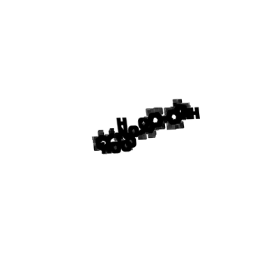 O=C(N[C@H](Cc1ccccc1)C(=O)O)OCc1cc2cc(-c3ccc4[nH]ccc4c3)ccc2o1